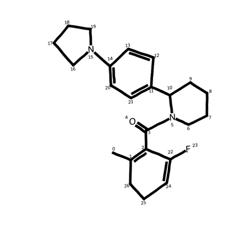 CC1=C(C(=O)N2CCCCC2c2ccc(N3CCCC3)cc2)C(F)=CCC1